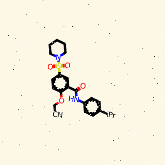 CC(C)c1ccc(NC(=O)c2cc(S(=O)(=O)N3CCCCC3)ccc2OCC#N)cc1